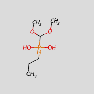 CCC[PH](O)(O)C(OC)OC